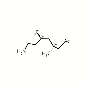 CC(=O)C[C@H](C)C[C@H](C)CCN